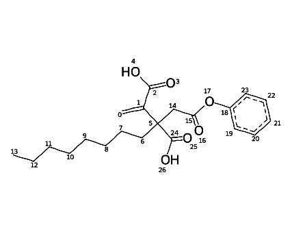 C=C(C(=O)O)C(CCCCCCCC)(CC(=O)Oc1ccccc1)C(=O)O